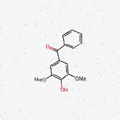 COc1cc(C(=O)c2ccccc2)cc(OC)c1O